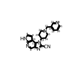 N#Cc1nc2cnc3[nH]ccc3c2n1C1CCN(Cc2cccnc2)CC1